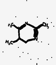 CC1=NCC(C)C(C)=N1